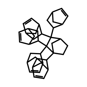 C1=CC2CC1CC2C12CCC(C1)C(C1CC3C=CC1C3)(C1CC3C=CC1C3)C2(C1CC2C=CC1C2)C1CC2C=CC1C2